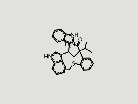 CCSc1ccccc1C(CC(c1c[nH]c2ccccc12)c1c[nH]c2ccccc12)(C(N)=O)C(C)C